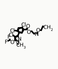 C=CCO/N=C\COC(=O)c1cc(-c2nn(C)c(OC(F)F)c2Cl)c(Cl)cc1Cl